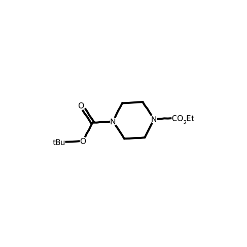 CCOC(=O)N1CCN(C(=O)OC(C)(C)C)CC1